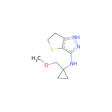 COCC1(Nc2n[nH]c3c2SCC3)CC1